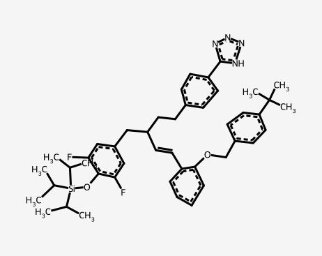 CC(C)[Si](Oc1c(F)cc(CC(C=Cc2ccccc2OCc2ccc(C(C)(C)C)cc2)CCc2ccc(-c3nnn[nH]3)cc2)cc1F)(C(C)C)C(C)C